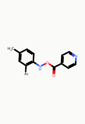 CC(=O)c1cc(C)ccc1NOC(=O)c1ccncc1